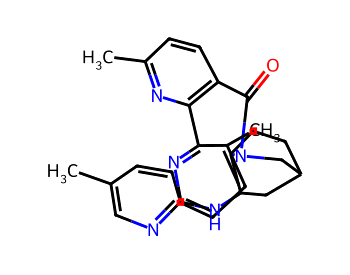 Cc1ccc(NC2CC3CCC2N(C(=O)c2ccc(C)nc2-c2ncccc2C)C3)nc1